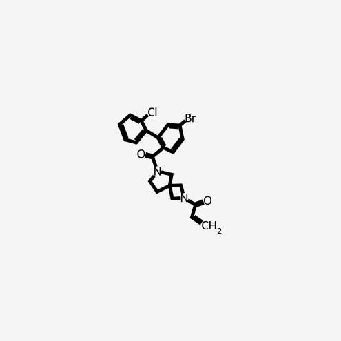 C=CC(=O)N1CC2(CCN(C(=O)c3ccc(Br)cc3-c3ccccc3Cl)C2)C1